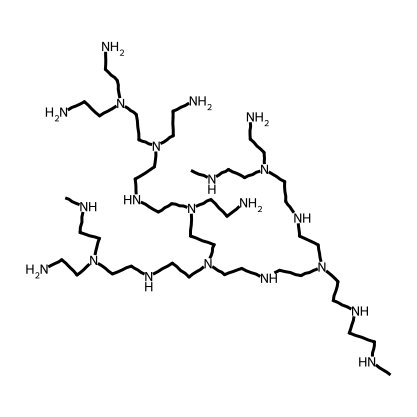 CNCCNCCN(CCNCCN(CCN)CCNC)CCNCCN(CCNCCN(CCN)CCNC)CCN(CCN)CCNCCN(CCN)CCN(CCN)CCN